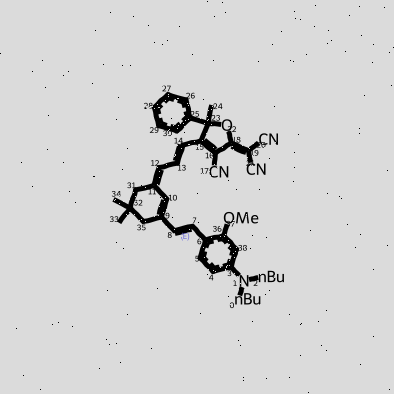 CCCCN(CCCC)c1ccc(/C=C/C2=CC(=CC=CC3=C(C#N)C(=C(C#N)C#N)OC3(C)c3ccccc3)CC(C)(C)C2)c(OC)c1